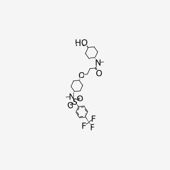 CN(C(=O)CCO[C@H]1CC[C@H](N(C)S(=O)(=O)c2ccc(C(F)(F)F)cc2)CC1)[C@H]1CC[C@H](O)CC1